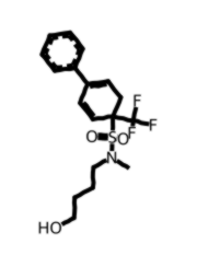 CN(CCCCO)S(=O)(=O)C1(C(F)(F)F)C=CC(c2ccccc2)=CC1